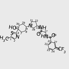 Cc1cnc(C2(O)CCC(N3CC[C@@H](NC(=O)CNC(=O)c4cccc(C(F)(F)F)c4)C3)CC2)s1